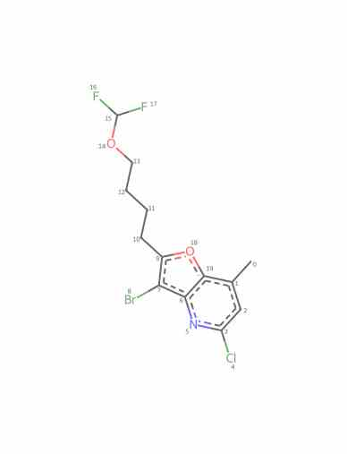 Cc1cc(Cl)nc2c(Br)c(CCCCOC(F)F)oc12